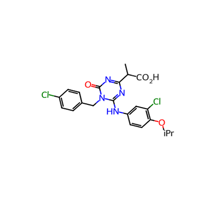 CC(C)Oc1ccc(Nc2nc(C(C)C(=O)O)nc(=O)n2Cc2ccc(Cl)cc2)cc1Cl